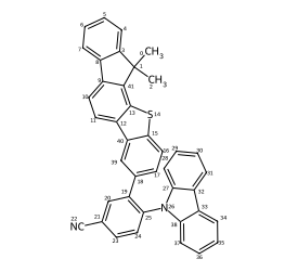 CC1(C)c2ccccc2-c2ccc3c(sc4ccc(-c5cc(C#N)ccc5-n5c6ccccc6c6ccccc65)cc43)c21